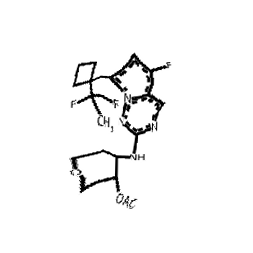 CC(=O)OC1COCCC1Nc1ncc2c(F)cc(C3(C(C)(F)F)CCC3)n2n1